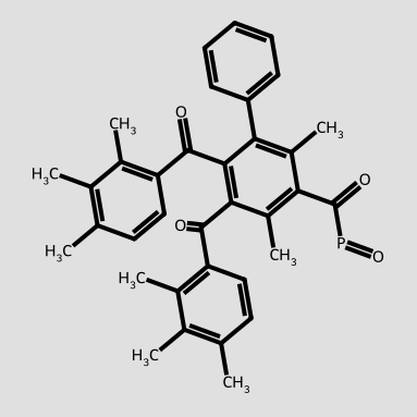 Cc1ccc(C(=O)c2c(C)c(C(=O)P=O)c(C)c(-c3ccccc3)c2C(=O)c2ccc(C)c(C)c2C)c(C)c1C